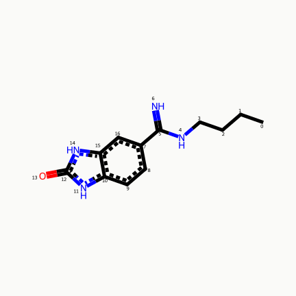 CCCCNC(=N)c1ccc2[nH]c(=O)[nH]c2c1